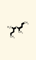 C=C/C=C(C)\N=C(\C)CCC